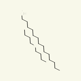 CCCCCCCCCCCCCCO.CCCCOCCCC